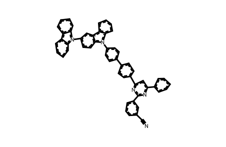 N#Cc1cccc(-c2nc(-c3ccccc3)cc(-c3ccc(-c4ccc(-n5c6ccccc6c6cc(-n7c8ccccc8c8ccccc87)ccc65)cc4)cc3)n2)c1